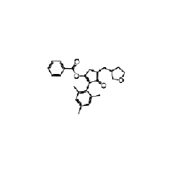 Cc1cc(C)c(C2=C(OC(=O)c3ccccc3)CC(CC3CCOC3)C2=O)c(C)c1